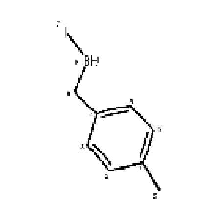 Cc1ccc(CBI)cc1